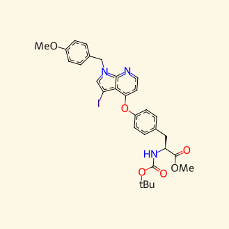 COC(=O)[C@H](Cc1ccc(Oc2ccnc3c2c(I)cn3Cc2ccc(OC)cc2)cc1)NC(=O)OC(C)(C)C